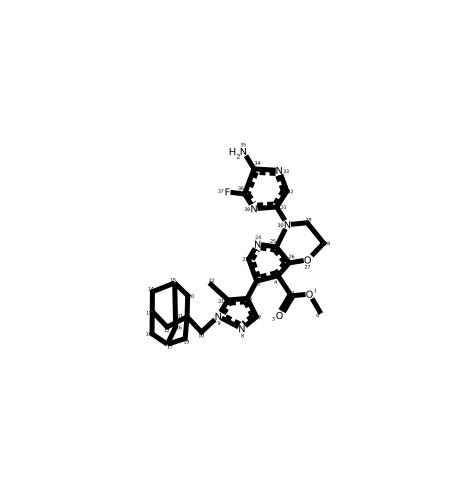 COC(=O)c1c(-c2cnn(CC34CC5CC(CC(C5)C3)C4)c2C)cnc2c1OCCN2c1cnc(N)c(F)n1